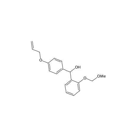 C=CCOc1ccc(C(O)c2ccccc2OCOC)cc1